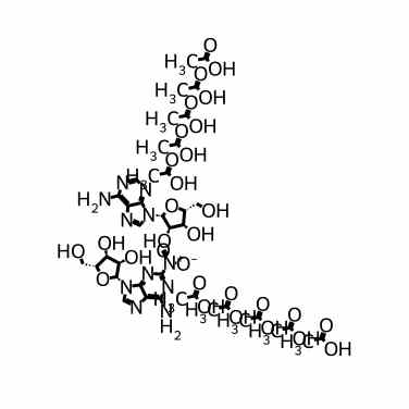 CC(=O)O.CC(=O)O.CC(=O)O.CC(=O)O.CC(=O)O.CC(=O)O.CC(=O)O.CC(=O)O.CC(=O)O.CC(=O)O.Nc1nc([N+](=O)[O-])nc2c1ncn2[C@@H]1O[C@H](CO)[C@@H](O)[C@H]1O.Nc1ncnc2c1ncn2[C@@H]1O[C@H](CO)[C@@H](O)[C@H]1O